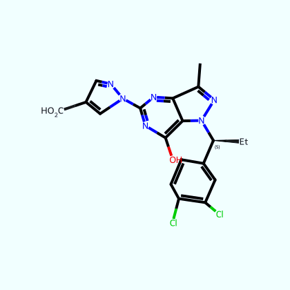 CC[C@@H](c1ccc(Cl)c(Cl)c1)n1nc(C)c2nc(-n3cc(C(=O)O)cn3)nc(O)c21